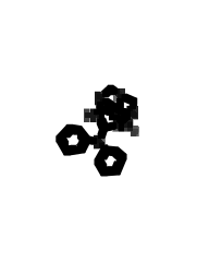 C1N2CN3CN1CN(C2)C3.N=C(N)N(c1ccccc1)c1ccccc1